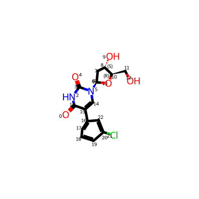 O=c1[nH]c(=O)n([C@H]2C[C@H](O)[C@@H](CO)O2)cc1-c1cccc(Cl)c1